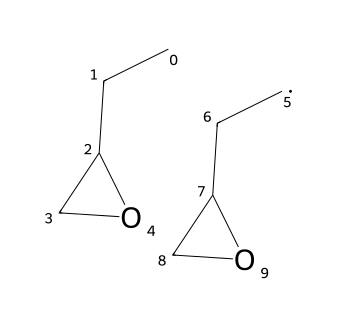 CCC1CO1.[CH2]CC1CO1